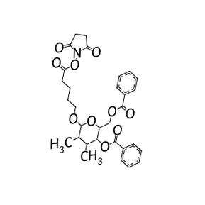 CC1C(OCCCCC(=O)ON2C(=O)CCC2=O)OC(COC(=O)c2ccccc2)C(OC(=O)c2ccccc2)C1C